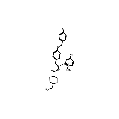 CC(=O)c1ccc(N)cc1.NC[C@H]1CC[C@H](C(=O)N[C@@H](Cc2ccc(OCc3ccc(Cl)cc3)cc2)C(=O)O)CC1